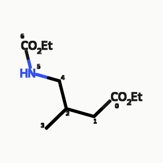 CCOC(=O)CC(C)CNC(=O)OCC